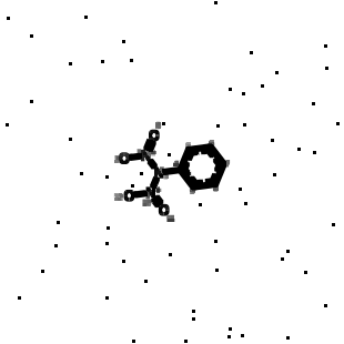 O=[N+]([O-])N(c1ccccc1)[N+](=O)[O-]